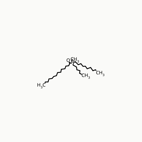 CCCCCCCCCCCCCC(=O)[N+](C)(CCCCCC)CCCCCCCCCC